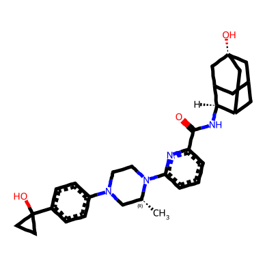 C[C@@H]1CN(c2ccc(C3(O)CC3)cc2)CCN1c1cccc(C(=O)N[C@H]2C3CC4CC2C[C@](O)(C4)C3)n1